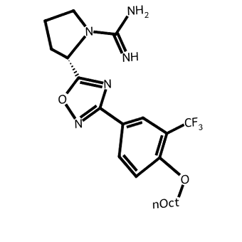 CCCCCCCCOc1ccc(-c2noc([C@@H]3CCCN3C(=N)N)n2)cc1C(F)(F)F